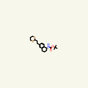 CC(C)(C)OC(=O)N[C@@H]1CCCc2cc(CCC3SCCCS3)ccc21